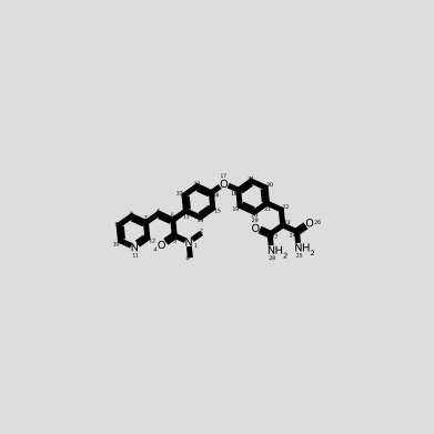 CN(C)C(=O)C(=Cc1cccnc1)c1ccc(Oc2ccc(CC(C(N)=O)C(N)=O)cc2)cc1